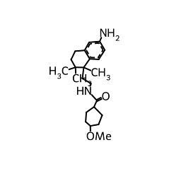 COC1CCC(C(=O)NCCC2(C)c3ccc(N)cc3CCC2(C)C)CC1